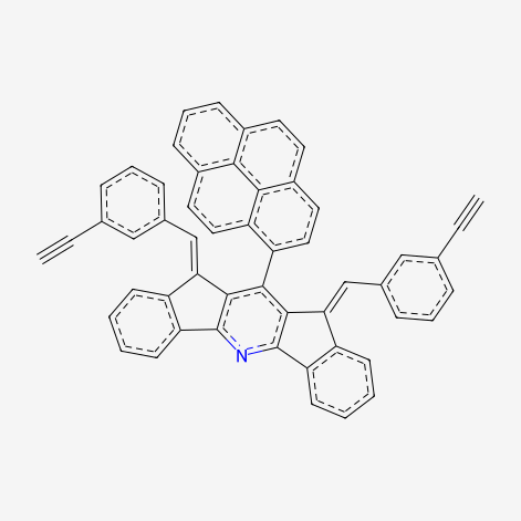 C#Cc1cccc(/C=C2\c3ccccc3-c3nc4c(c(-c5ccc6ccc7cccc8ccc5c6c78)c32)/C(=C/c2cccc(C#C)c2)c2ccccc2-4)c1